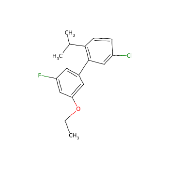 CCOc1cc(F)cc(-c2cc(Cl)ccc2C(C)C)c1